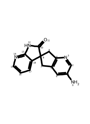 Nc1cnc2c(c1)CC1(C2)C(=O)Nc2ncccc21